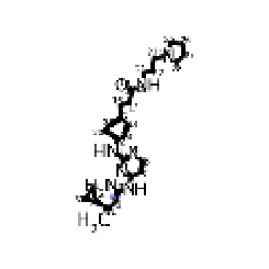 C=C(/C=C(\N)Nc1ccnc(Nc2ccc(CCC(=O)NCCCN3CCCC3)cc2)n1)C1CC1